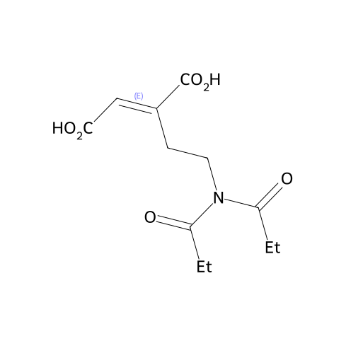 CCC(=O)N(CC/C(=C\C(=O)O)C(=O)O)C(=O)CC